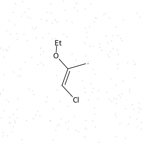 [CH2]/C(=C\Cl)OCC